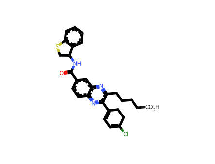 O=C(O)CCCCc1nc2cc(C(=O)NC3CSc4ccccc43)ccc2nc1C1=CC=C(Cl)CC1